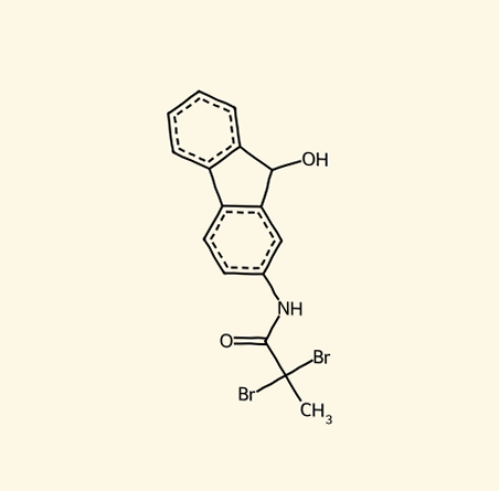 CC(Br)(Br)C(=O)Nc1ccc2c(c1)C(O)c1ccccc1-2